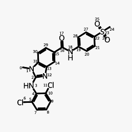 Cn1c(Nc2c(Cl)cccc2Cl)nc2cc(C(=O)Nc3ccc(S(C)(=O)=O)cc3)ccc21